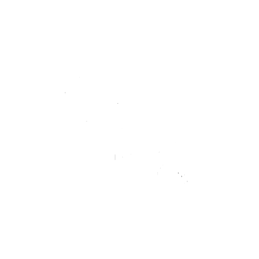 O=C(O)/C(=C\C=C\c1ccccc1)C(=O)O[N+](=O)[O-]